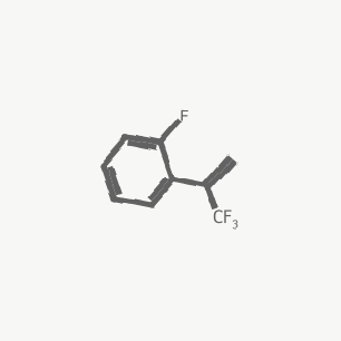 C=C(c1ccccc1F)C(F)(F)F